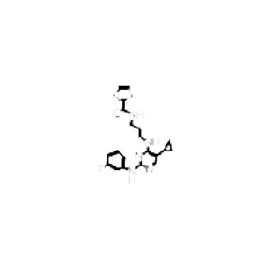 O=C(NCCCNc1nc(Nc2cccc(F)c2)ncc1C1CC1)c1nccs1